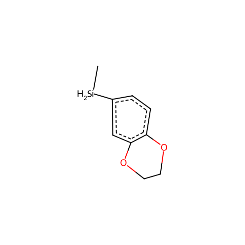 C[SiH2]c1ccc2c(c1)OCCO2